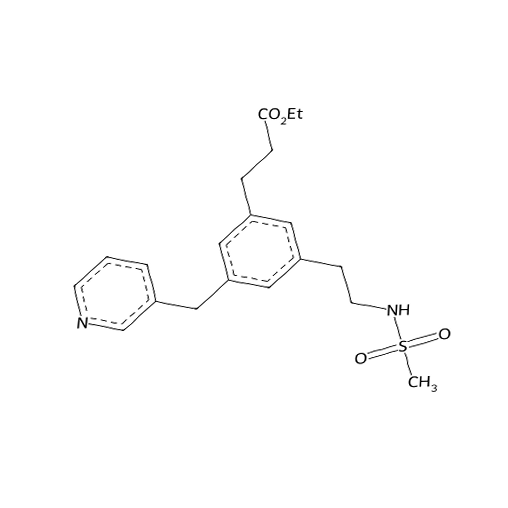 CCOC(=O)CCc1cc(CCNS(C)(=O)=O)cc(Cc2cccnc2)c1